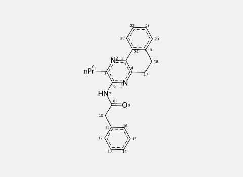 CCCc1nc2c(nc1NC(=O)Cc1ccccc1)CCc1ccccc1-2